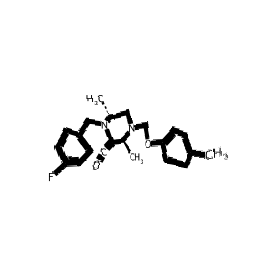 Cc1ccc(OCN2C[C@@H](C)N(Cc3ccc(F)cc3)C(=C=O)[C@@H]2C)cc1